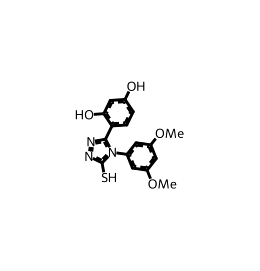 COc1cc(OC)cc(-n2c(S)nnc2-c2ccc(O)cc2O)c1